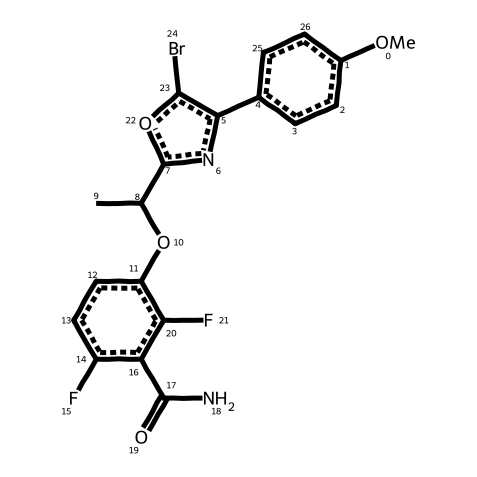 COc1ccc(-c2nc(C(C)Oc3ccc(F)c(C(N)=O)c3F)oc2Br)cc1